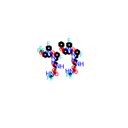 O=C(NCC(F)(F)F)OC[C@@H]1CO[C@H](CCc2c(F)cccc2N[C@@H](Cc2ccc(OC(F)(F)F)cc2)C(=O)Nc2ccc(F)cc2)CN1.O=C(NCC(F)(F)F)OC[C@@H]1CO[C@H](CCc2c(F)cccc2N[C@@H](Cc2ccc(Oc3ccccc3)cc2)C(=O)Nc2ccc(F)cc2)CN1